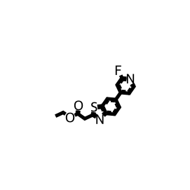 CCOC(=O)Cc1nc2ccc(-c3ccnc(F)c3)cc2s1